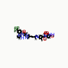 Cc1cc(N2CC(C#Cc3cnn(C(C)(C)C(=O)Nc4ccc(C(F)(F)F)cc4-n4cccc4)c3)C2)ccc1C(=O)N(C=O)C1CCC(=O)NC1=O